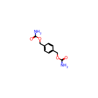 NC(=O)OCc1ccc(COC(N)=O)cc1